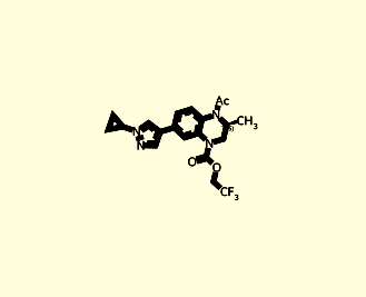 CC(=O)N1c2ccc(-c3cnn(C4CC4)c3)cc2N(C(=O)OCC(F)(F)F)C[C@@H]1C